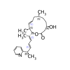 C/C(=C\C=C\[C@@H](C)c1ccccn1)[C@H]1OC(=O)C[C@H](O)CC[C@H](C)C/C=C/[C@@H]1C